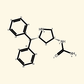 NC(=O)N[C@H]1CN[C@@H](C(c2ccccc2)c2ccccc2)C1